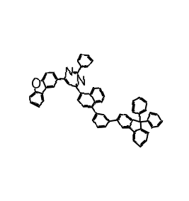 c1ccc(-c2nc(-c3ccc4oc5ccccc5c4c3)cc(-c3ccc(-c4cccc(-c5ccc6c(c5)-c5ccccc5C6(c5ccccc5)c5ccccc5)c4)c4ccccc34)n2)cc1